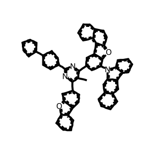 Cc1c(-c2ccc3c(c2)oc2ccccc23)nc(-c2ccc(-c3ccccc3)cc2)nc1-c1cc(-n2c3ccccc3c3cc4ccccc4cc32)c2oc3ccc4ccccc4c3c2c1